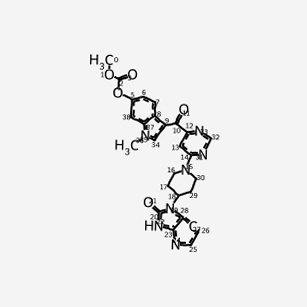 COC(=O)Oc1ccc2c(C(=O)c3cc(N4CCC(n5c(=O)[nH]c6ncccc65)CC4)ncn3)cn(C)c2c1